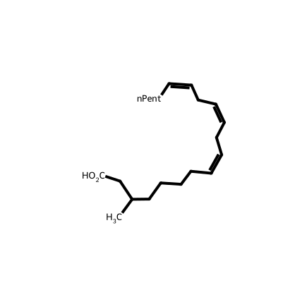 CCCCC/C=C\C/C=C\C/C=C\CCCCC(C)CC(=O)O